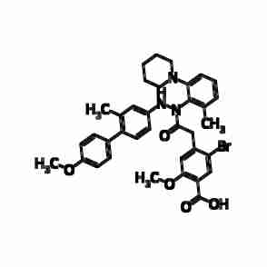 COc1ccc(-c2ccc(NN(C(=O)Cc3cc(OC)c(C(=O)O)cc3Br)c3c(C)cccc3N3CCCCC3)cc2C)cc1